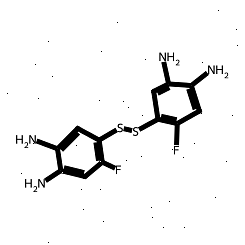 Nc1cc(F)c(SSc2cc(N)c(N)cc2F)cc1N